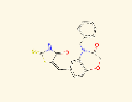 O=C1NC(=S)SC1=Cc1ccc2c(c1)N(Cc1ccccc1)C(=O)CO2